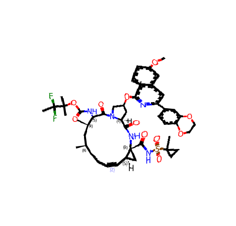 COc1ccc2c(OC3C[C@H]4C(=O)N[C@]5(C(=O)NS(=O)(=O)C6(C)CC6)C[C@H]5/C=C\CC[C@@H](C)C[C@@H](C)[C@H](NC(=O)OC(C)(C)C(C)(F)F)C(=O)N4C3)nc(-c3ccc4c(c3)OCCO4)cc2c1